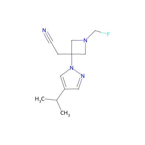 CC(C)c1cnn(C2(CC#N)CN(CF)C2)c1